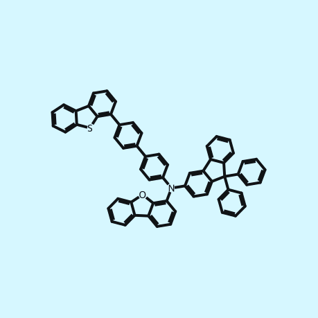 c1ccc(C2(c3ccccc3)c3ccccc3-c3cc(N(c4ccc(-c5ccc(-c6cccc7c6sc6ccccc67)cc5)cc4)c4cccc5c4oc4ccccc45)ccc32)cc1